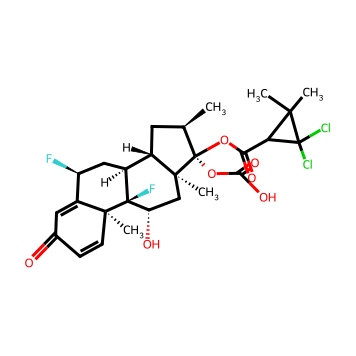 C[C@@H]1C[C@H]2[C@@H]3C[C@H](F)C4=CC(=O)C=C[C@]4(C)[C@@]3(F)[C@@H](O)C[C@]2(C)[C@]1(OC(=O)O)OC(=O)C1C(C)(C)C1(Cl)Cl